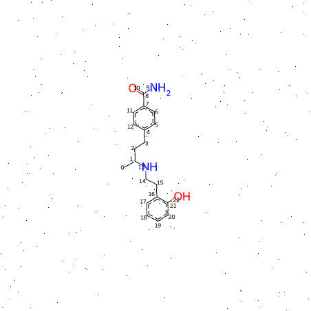 CC(CCc1ccc(C(N)=O)cc1)NCCc1ccccc1O